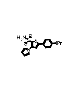 CC(C)c1ccc(-c2cc(-n3cccc3)c(S(N)(=O)=O)s2)cc1